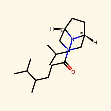 CC(C)CN1[C@@H]2CC[C@H]1CN(C(=O)CCC(C)C(C)C)C2